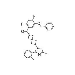 Cc1cc(C2CC3(C2)CN(C(=O)c2cc(OCc4ccccc4)c(F)cc2F)C3)n(-c2ccccc2C)n1